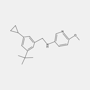 COc1ccc(NCc2cc(C3CC3)cc(C(C)(C)C)c2)cn1